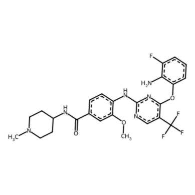 COc1cc(C(=O)NC2CCN(C)CC2)ccc1Nc1ncc(C(F)(F)F)c(Oc2cccc(F)c2N)n1